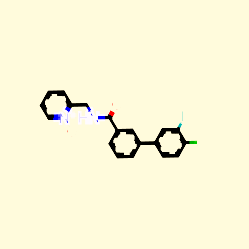 O=C(NCc1cccc[n+]1[O-])c1cccc(-c2ccc(Cl)c(F)c2)c1